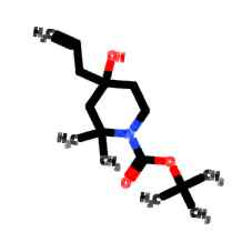 C=CCC1(O)CCN(C(=O)OC(C)(C)C)C(C)(C)C1